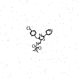 CN(C)S(=O)(=O)/N=C/c1sc(-c2ccncc2)nc1Cc1ccc(Cl)cc1